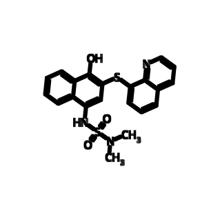 CN(C)S(=O)(=O)Nc1cc(Sc2cccc3cccnc23)c(O)c2ccccc12